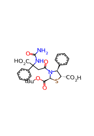 CC(C)(C)OC(=O)[C@@H]1S[C@@H](C(=O)O)[C@H](c2ccccc2)N1C(=O)CC(NC(N)=O)(C(=O)O)c1ccccc1